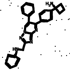 NC1(c2ccc(-c3nc4nc(CNc5ccccc5)nn4cc3-c3ccccc3)cc2)CCC1